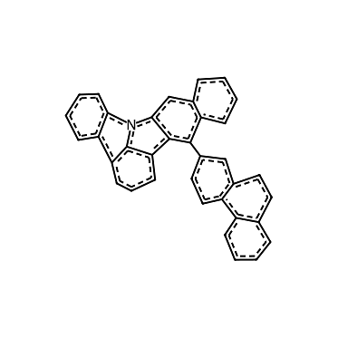 c1ccc2c(-c3ccc4c(ccc5ccccc54)c3)c3c4cccc5c6ccccc6n(c3cc2c1)c54